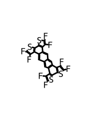 Fc1sc2c3sc(F)c(F)c3c3cc4cc5c(cc4cc3c2c1F)c1c(F)c(F)sc1c1sc(F)c(F)c51